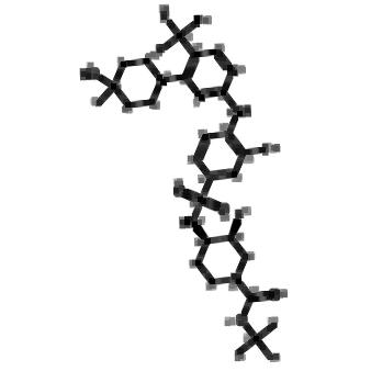 CC1(O)CCN(c2nc(Nc3ccc(S(=O)(=O)N[C@@H]4CCN(C(=O)OC(C)(C)C)C[C@@H]4F)cc3F)ncc2C(F)(F)F)CC1